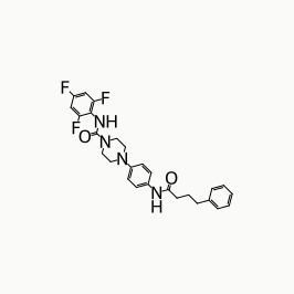 O=C(CCCc1ccccc1)Nc1ccc(N2CCN(C(=O)Nc3c(F)cc(F)cc3F)CC2)cc1